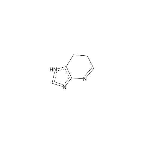 C1=Nc2nc[nH]c2CC1